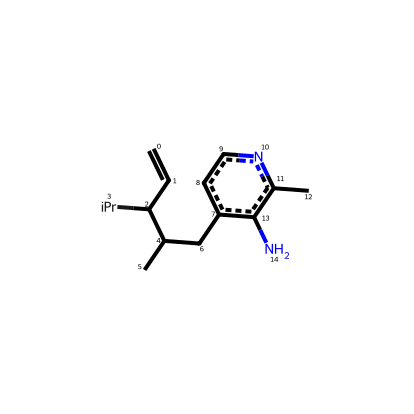 C=CC(C(C)C)C(C)Cc1ccnc(C)c1N